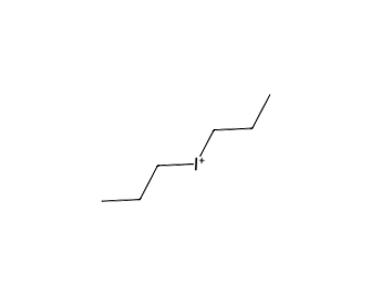 CCC[I+]CCC